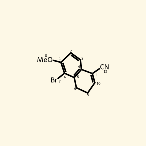 COc1ccc2c(c1Br)CCC=C2C#N